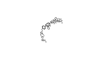 CC(C)(N)C(=O)N1CCN(c2ccn(-c3ccc(CCCN4CCC5(CC4)CC(N)C5)cc3)c(=O)n2)CC1